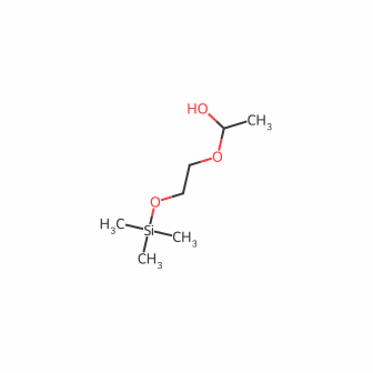 CC(O)OCCO[Si](C)(C)C